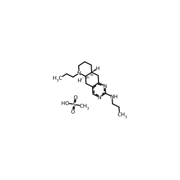 CCCNc1ncc2c(n1)C[C@H]1CCCN(CCC)[C@@H]1C2.CS(=O)(=O)O